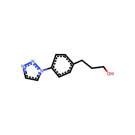 OCCCc1ccc(-n2ccnn2)cc1